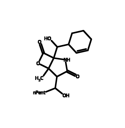 CCCCCC(O)C1C(=O)NC2(C(O)C3C=CCCC3)C(=O)OC12C